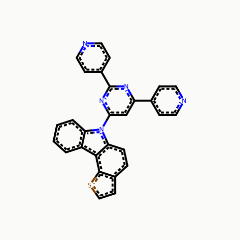 c1ccc2c(c1)c1c3sccc3ccc1n2-c1cc(-c2ccncc2)nc(-c2ccncc2)n1